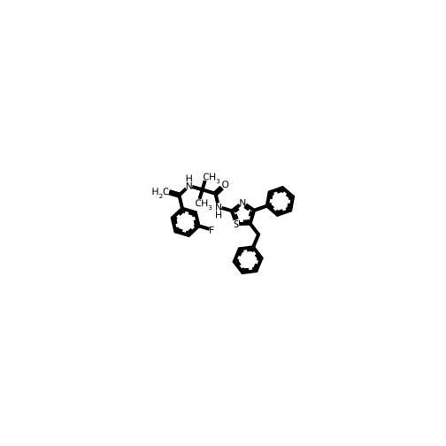 C=C(NC(C)(C)C(=O)Nc1nc(-c2ccccc2)c(Cc2ccccc2)s1)c1cccc(F)c1